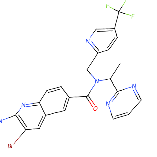 CC(c1ncccn1)N(Cc1ccc(C(F)(F)F)cn1)C(=O)c1ccc2nc(N)c(Br)cc2c1